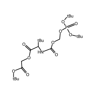 CC(C)(C)OC(=O)COC(=O)C(NC(=O)OCOP(=O)(OC(C)(C)C)OC(C)(C)C)C(C)(C)C